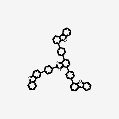 c1ccc2c(c1)oc1c(-c3ccc(-c4ccc(-c5ccc(-c6cccc7c6oc6ccccc67)cc5)c5sc(-c6ccc(-c7ccc8sc9ccccc9c8c7)cc6)nc45)cc3)cccc12